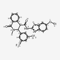 CCOc1ccc2nc(NC(=O)C3c4ccccc4C(=O)N(C)C3c3cc(C(F)(F)F)cc(C(F)(F)F)c3)sc2c1